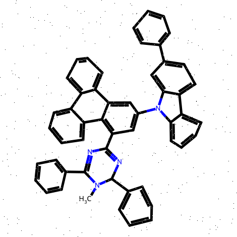 CN1C(c2ccccc2)=NC(c2cc(-n3c4ccccc4c4ccc(-c5ccccc5)cc43)cc3c4ccccc4c4ccccc4c23)=NC1c1ccccc1